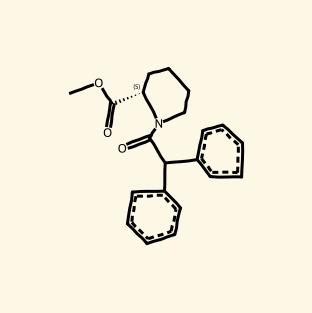 COC(=O)[C@@H]1CCCCN1C(=O)C(c1ccccc1)c1ccccc1